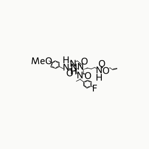 C=CCOC(=O)NCCC[C@H]1C(=O)N(C(C)c2ccc(F)cc2)C[C@H]2N1C(=O)CN(C)N2C(=O)NCc1ccc(OC)cc1